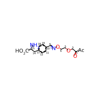 CC(=O)C(=O)COCCO/N=C/c1ccc(CC(N)C(=O)O)cc1